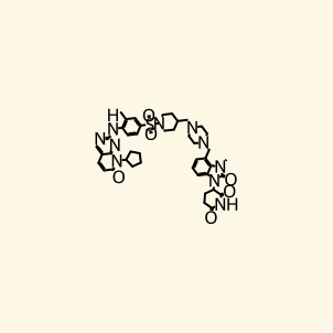 Cc1cc(S(=O)(=O)N2CCC(CN3CCN(Cc4cccc5c4n(C)c(=O)n5C4CCC(=O)NC4=O)CC3)CC2)ccc1Nc1ncc2ccc(=O)n(C3CCCC3)c2n1